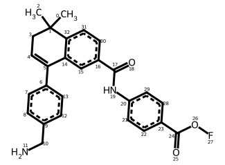 CC1(C)CC=C(c2ccc(CN)cc2)c2cc(C(=O)Nc3ccc(C(=O)OF)cc3)ccc21